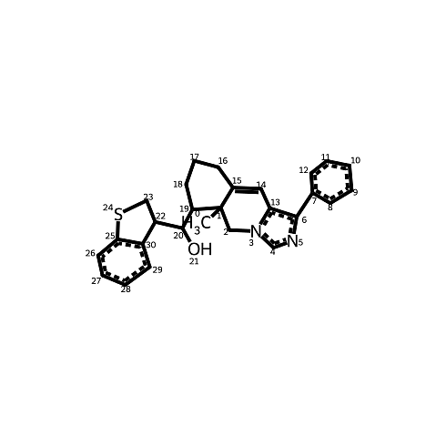 CC12Cn3cnc(-c4ccccc4)c3C=C1CCCC2C(O)C1CSc2ccccc21